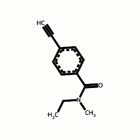 C#Cc1ccc(C(=O)N(C)C[CH2])cc1